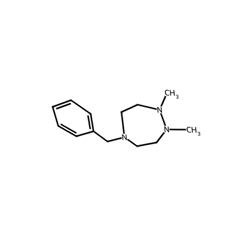 CN1CCN(Cc2ccccc2)CCN1C